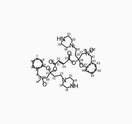 C[N+]1([O-])Cc2ccccc2OC(CCN2CCNCC2)(OC(=O)/C=C/C(=O)OC2(CCN3CCNCC3)C[N+](C)([O-])Cc3ccccc3O2)C1